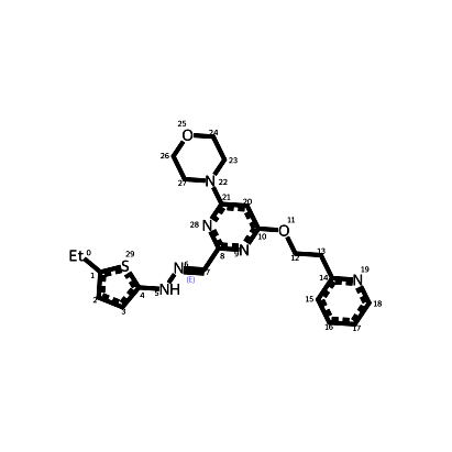 CCc1ccc(N/N=C/c2nc(OCCc3ccccn3)cc(N3CCOCC3)n2)s1